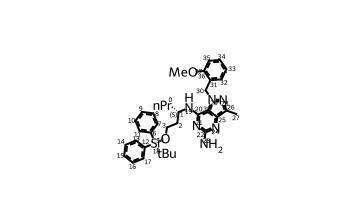 CCC[C@@H](CCO[Si](c1ccccc1)(c1ccccc1)C(C)(C)C)Nc1nc(N)nc2c(C)nn(Cc3c[c]ccc3OC)c12